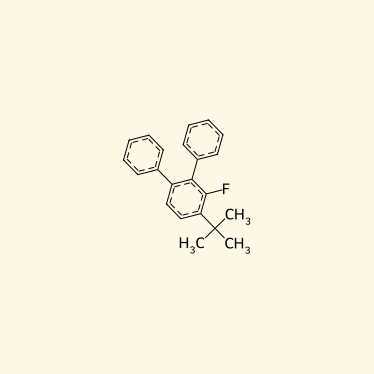 CC(C)(C)c1ccc(-c2ccccc2)c(-c2ccccc2)c1F